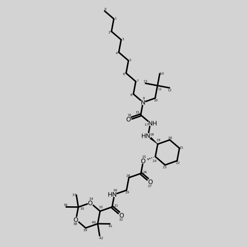 CCCCCCCCCN(CC(C)(C)C)C(=O)NN[C@H]1CCCC[C@@H]1OC(=O)CCNC(=O)C1OC(C)(C)OCC1(C)C